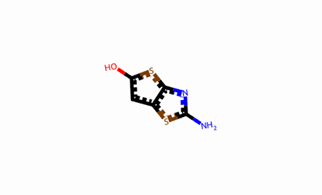 Nc1nc2sc(O)cc2s1